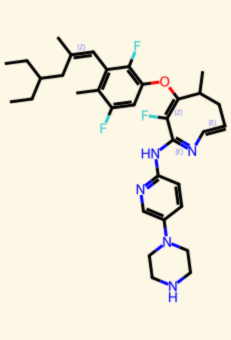 CCC(CC)C/C(C)=C\c1c(C)c(F)cc(O/C2=C(F)/C(Nc3ccc(N4CCNCC4)cn3)=N\C=C\CC2C)c1F